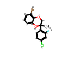 CC1(c2ccc(Cl)cc2F)COc2c(Br)cccc2O1